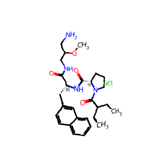 CCC(CC)C(=O)N1CCC[C@H]1C(=O)N[C@H](Cc1ccc2ccccc2c1)C(=O)NCC(CN)OC.Cl